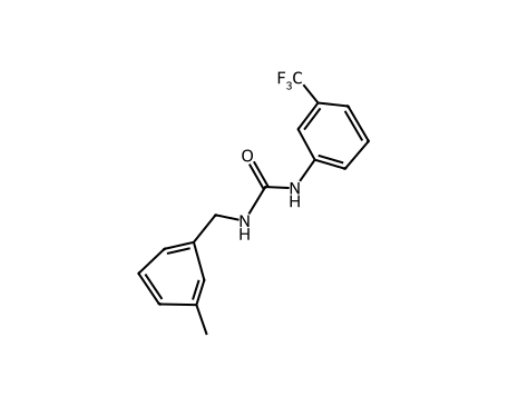 Cc1cccc(CNC(=O)Nc2cccc(C(F)(F)F)c2)c1